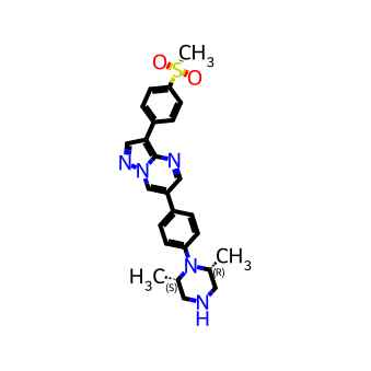 C[C@@H]1CNC[C@H](C)N1c1ccc(-c2cnc3c(-c4ccc(S(C)(=O)=O)cc4)cnn3c2)cc1